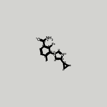 Cc1ccc(C(N)=O)c(F)c1-n1cnc(C2CC2)c1